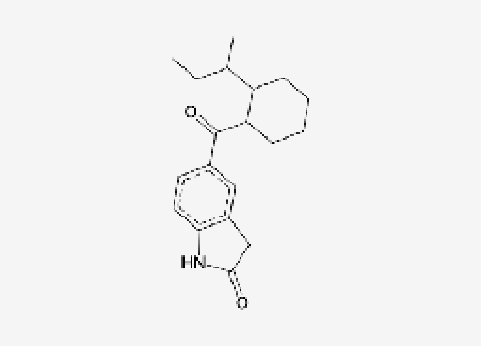 CCC(C)C1CCCCC1C(=O)c1ccc2c(c1)CC(=O)N2